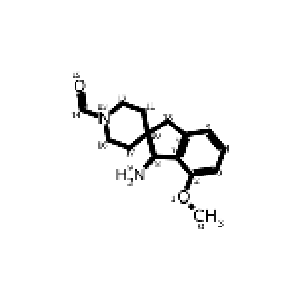 COc1cccc2c1C(N)C1(CCN(C=O)CC1)C2